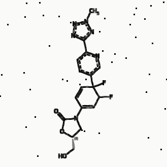 Cn1nnc(-c2ccc(C3(F)C=CC(N4C[C@H](CO)OC4=O)=CC3F)cn2)n1